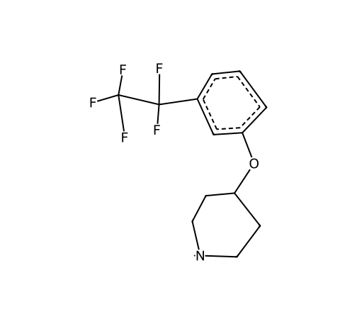 FC(F)(F)C(F)(F)c1cccc(OC2CC[N]CC2)c1